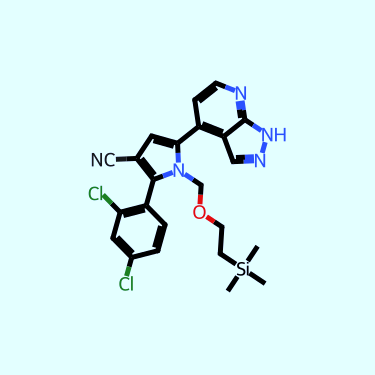 C[Si](C)(C)CCOCn1c(-c2ccnc3[nH]ncc23)cc(C#N)c1-c1ccc(Cl)cc1Cl